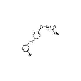 CC(C)(C)C(=O)ONC1CC1c1ccc(OCc2cccc(Br)c2)cc1